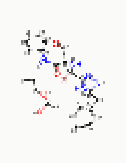 CCCOC(C)=O.CN1C(=O)C(NC(=O)c2nnc(Cc3ccccc3)[nH]2)COc2ccccc21